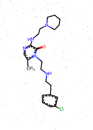 Cc1cnc(NCCN2CCCCC2)c(=O)n1CCNCCc1cccc(Cl)c1